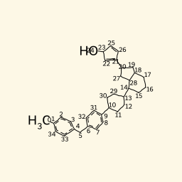 Cc1ccc(Cc2ccc(C3CCC(C4CCCC5CC(C6=CC(O)C=C6)CC54)CC3)cc2)cc1